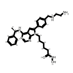 C[C@@H](Nc1ncnc2c1cc(-c1ccc(CNCCN)cc1)n2CCCCCC(=O)NO)c1ccccc1